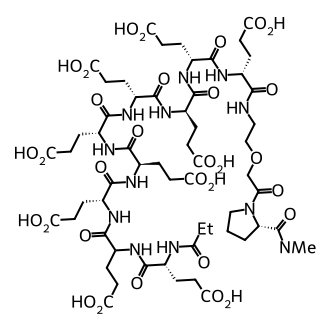 CCC(=O)N[C@H](CCC(=O)O)C(=O)NC(CCC(=O)O)C(=O)N[C@H](CCC(=O)O)C(=O)N[C@H](CCC(=O)O)C(=O)N[C@H](CCC(=O)O)C(=O)N[C@H](CCC(=O)O)C(=O)N[C@H](CCC(=O)O)C(=O)N[C@H](CCC(=O)O)C(=O)N[C@H](CCC(=O)O)C(=O)NCCOCC(=O)N1CCC[C@H]1C(=O)NC